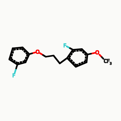 Fc1cccc(OCCCc2ccc(OC(F)(F)F)cc2F)c1